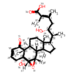 CC(C[C@@H](O)[C@@H](C)[C@H]1CC[C@H]2[C@@H]3[C@@H]4O[C@@H]4[C@@]4(O)CC=CC(=O)[C@]4(C)[C@H]3CC[C@]12C)=C(C)C(=O)O